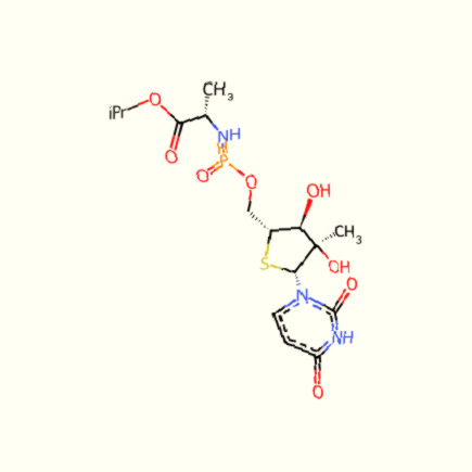 CC(C)OC(=O)[C@H](C)N[PH](=O)OC[C@H]1S[C@@H](n2ccc(=O)[nH]c2=O)[C@](C)(O)[C@@H]1O